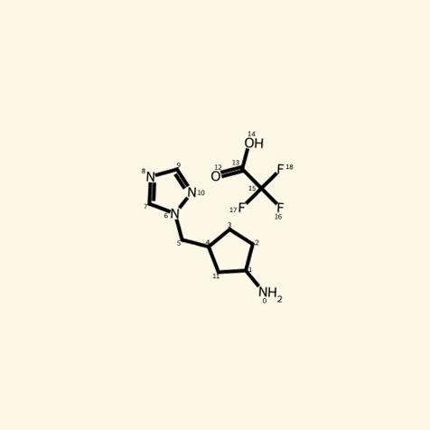 NC1CCC(Cn2cncn2)C1.O=C(O)C(F)(F)F